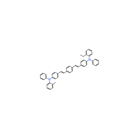 CCc1ccccc1N(c1ccccc1)c1ccc(C=Cc2ccc(C=Cc3ccc(N(c4ccccc4)c4ccccc4C)cc3)cc2)cc1